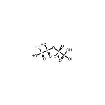 O=P(O)(O)P(=O)(O)OP(=O)(O)P(=O)(O)O